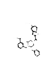 COc1ccc2[nH]c(C(=O)N3CC(=O)N(Cc4cccc(C(N)=O)c4)[C@@H](Cc4ccccc4)C3)cc2c1